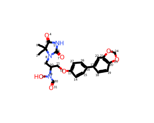 CC1(C)C(=O)NC(=O)N1CC(COc1ccc(-c2ccc3c(c2)OCO3)cc1)N(O)C=O